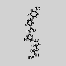 CCc1ccc(-n2cc(C(=O)Nc3cc([C@H]4CC[C@@H](OC(=O)NC(C)C)C4)[nH]n3)cn2)cc1